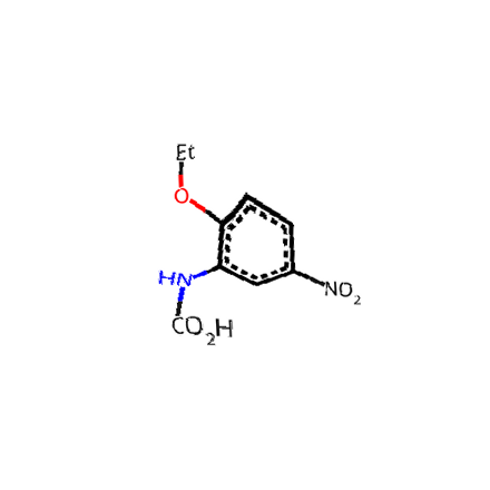 CCOc1ccc([N+](=O)[O-])cc1NC(=O)O